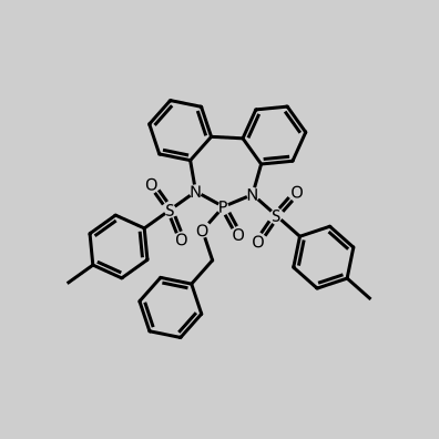 Cc1ccc(S(=O)(=O)N2c3ccccc3-c3ccccc3N(S(=O)(=O)c3ccc(C)cc3)P2(=O)OCc2ccccc2)cc1